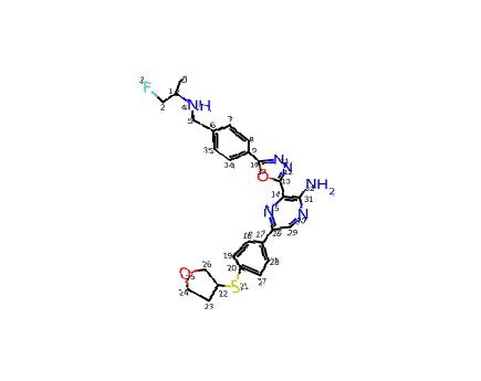 CC(CF)NCc1ccc(-c2nnc(-c3nc(-c4ccc(SC5CCOC5)cc4)cnc3N)o2)cc1